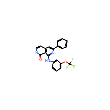 O=C1[N]C=Cc2cc(-c3ccccc3)nc(Nc3cccc(OC(F)(F)F)c3)c21